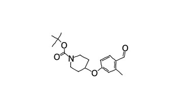 Cc1cc(OC2CCN(C(=O)OC(C)(C)C)CC2)ccc1C=O